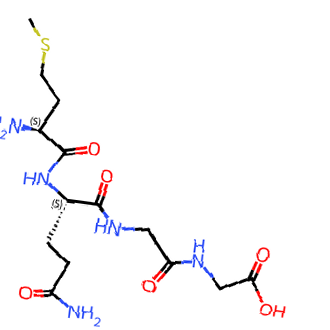 CSCC[C@H](N)C(=O)N[C@@H](CCC(N)=O)C(=O)NCC(=O)NCC(=O)O